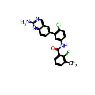 Nc1ncc2cc(-c3cc(NC(=O)c4cccc(C(F)(F)F)c4F)ccc3Cl)ccc2n1